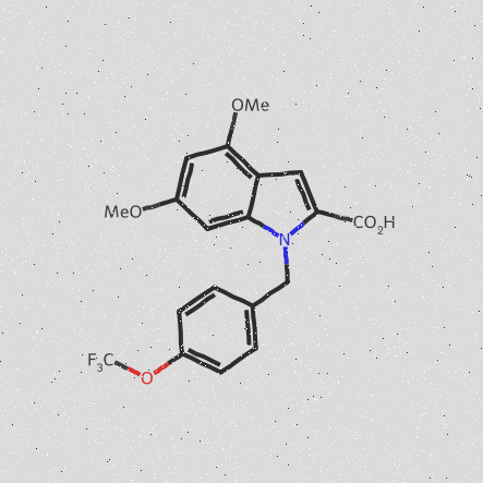 COc1cc(OC)c2cc(C(=O)O)n(Cc3ccc(OC(F)(F)F)cc3)c2c1